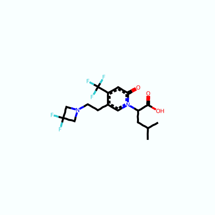 CC(C)CC(C(=O)O)n1cc(CCN2CC(F)(F)C2)c(C(F)(F)F)cc1=O